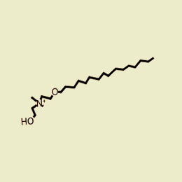 CCCCCCCCCCCCCCCCOCC[N+](C)(C)CCO